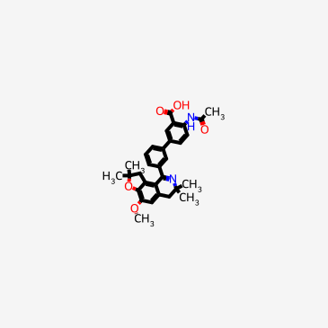 COc1cc2c(c3c1OC(C)(C)C3)C(c1cccc(-c3ccc(NC(C)=O)c(C(=O)O)c3)c1)=NC(C)(C)C2